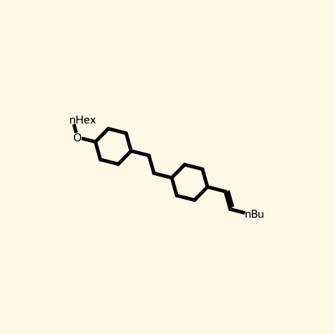 CCCCC=CC1CCC(CCC2CCC(OCCCCCC)CC2)CC1